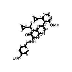 CCSc1ccc(CNc2nc3ncc(-c4c(OC)ncnc4C4CC4)nc3n(C(C)C3CC3)c2=O)nc1